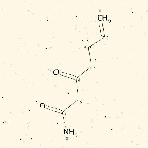 C=CCCC(=O)CC(N)=O